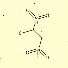 O=[SH](=O)CC(Cl)[SH](=O)=O